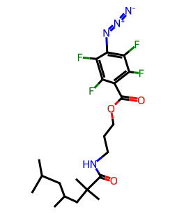 CC(C)CC(C)CC(C)(C)C(=O)NCCCOC(=O)c1c(F)c(F)c(N=[N+]=[N-])c(F)c1F